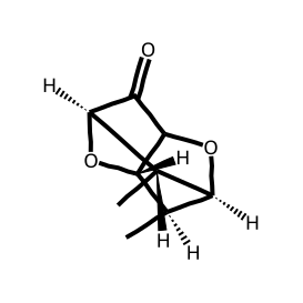 C[C@@H]1[C@@H]2OC3C(=O)[C@H](O[C@H]31)[C@H]2C